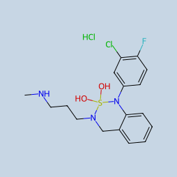 CNCCCN1Cc2ccccc2N(c2ccc(F)c(Cl)c2)S1(O)O.Cl